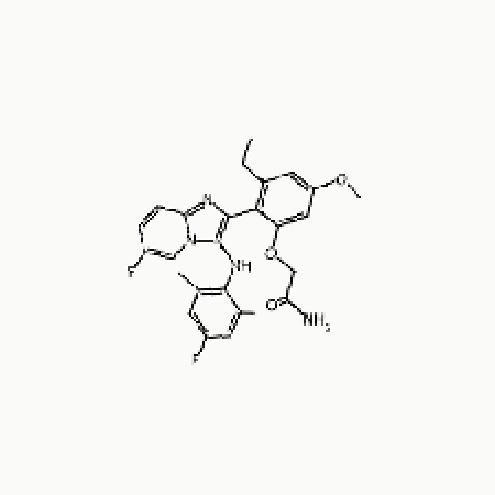 CCc1cc(OC)cc(OCC(N)=O)c1-c1nc2ccc(F)cn2c1Nc1c(C)cc(F)cc1C